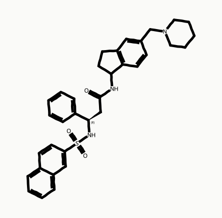 O=C(C[C@@H](NS(=O)(=O)c1ccc2ccccc2c1)c1ccccc1)NC1CCc2cc(CN3CCCCC3)ccc21